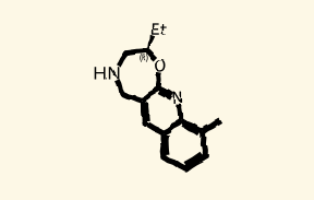 CC[C@@H]1CNCc2cc3cccc(C)c3nc2O1